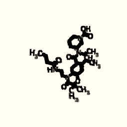 CCCC(=O)NCCN1C(=O)C(C)(C)Oc2cc(CC)c(C(=O)N(C(C)C)[C@@H]3CCCN(C(=O)O)C3)cc21